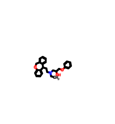 CCN(CCC1c2ccccc2COc2ccccc21)CC(O)COc1ccccc1